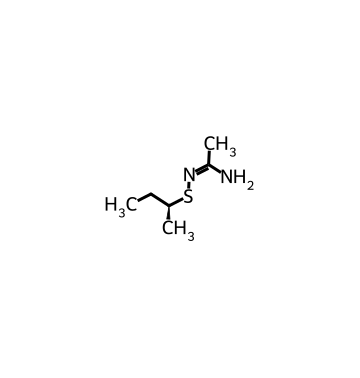 CC[C@H](C)S/N=C(/C)N